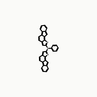 C1=c2ccc3c(c2N=C1B(C1=Nc2c4c(ccc2=C1)=c1ccccc1=C4)c1ccccc1)C=c1ccccc1=3